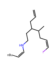 C=CCC(CCN/C=C\CCCC)C(C)C/C=C\I